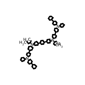 C=C/C=C(\C=C)N(c1ccc(-c2ccc(-c3ccc(N(C(/C=C\C)=C/CC)c4ccc(-c5ccc(N(c6ccccc6)c6ccc(-c7ccccc7)cc6)cc5)cc4)cc3)cc2)cc1)c1ccc(-c2ccc(N(c3ccccc3)c3ccc(-c4ccccc4)cc3)cc2)cc1